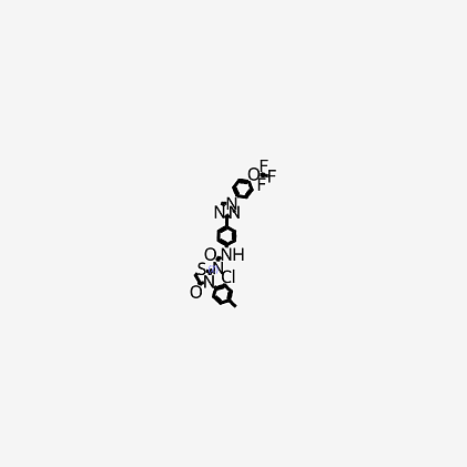 Cc1ccc(N2C(=O)CS/C2=N\C(=O)Nc2ccc(-c3ncn(-c4ccc(OC(F)(F)F)cc4)n3)cc2)c(Cl)c1